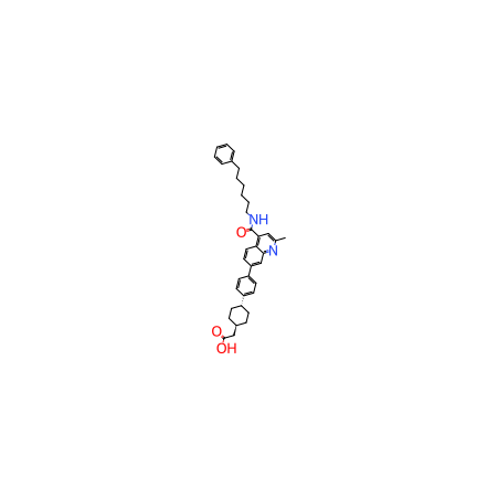 Cc1cc(C(=O)NCCCCCCc2ccccc2)c2ccc(-c3ccc([C@H]4CC[C@H](CC(=O)O)CC4)cc3)cc2n1